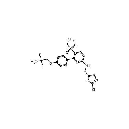 CCS(=O)(=O)c1ccc(NCc2cnc(Cl)s2)nc1-c1ccc(OCC(C)(F)F)cn1